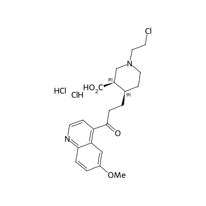 COc1ccc2nccc(C(=O)CC[C@@H]3CCN(CCCl)C[C@@H]3C(=O)O)c2c1.Cl.Cl